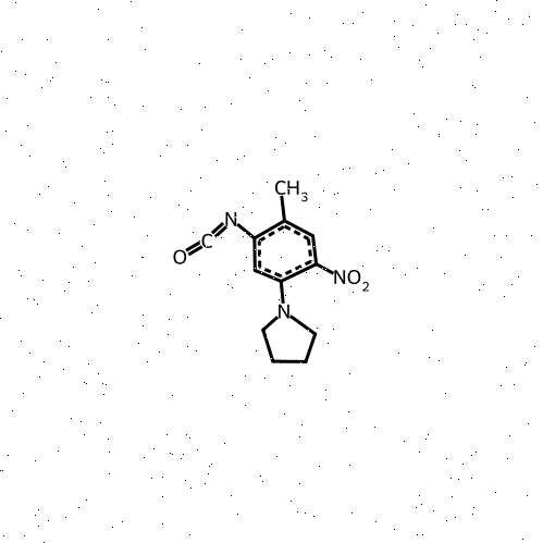 Cc1cc([N+](=O)[O-])c(N2CCCC2)cc1N=C=O